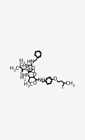 C=C(C(C)C)[Si@H](NC(=O)NCc1ccccc1)C(=O)NC(CC)C(=O)C(=O)NCc1ccc(OCCC(C)I)cc1